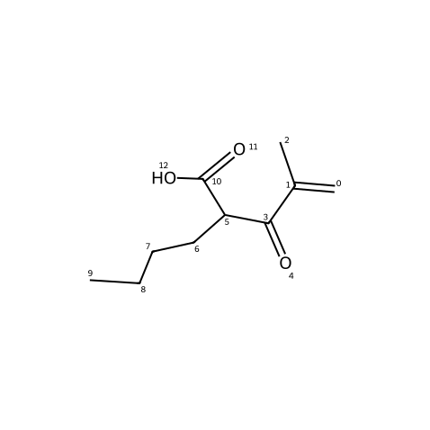 C=C(C)C(=O)C(CCCC)C(=O)O